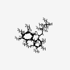 [2H]c1c([2H])c([2H])c(C(CC([2H])([2H])NC([2H])([2H])[2H])Oc2c([2H])c([2H])c([2H])c([2H])c2C)c([2H])c1[2H]